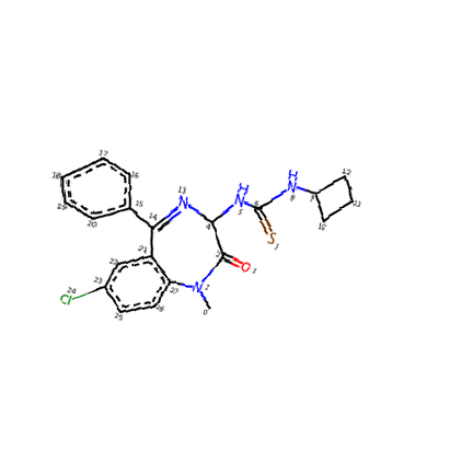 CN1C(=O)C(NC(=S)NC2CCC2)N=C(c2ccccc2)c2cc(Cl)ccc21